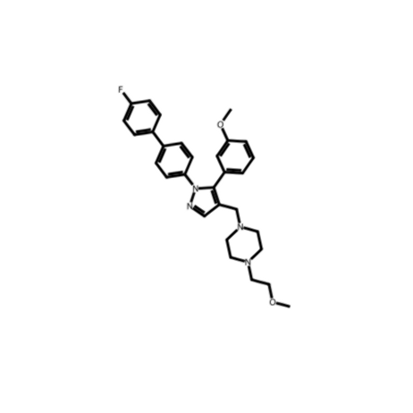 COCCN1CCN(Cc2cnn(-c3ccc(-c4ccc(F)cc4)cc3)c2-c2cccc(OC)c2)CC1